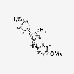 COc1ccc(Nc2nc(-c3ccc(C)cc3)n(C)n2)cc1